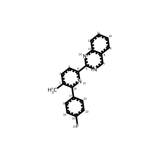 Cc1ccc(-c2ncc3ccccc3n2)nc1-c1ccc(F)cc1